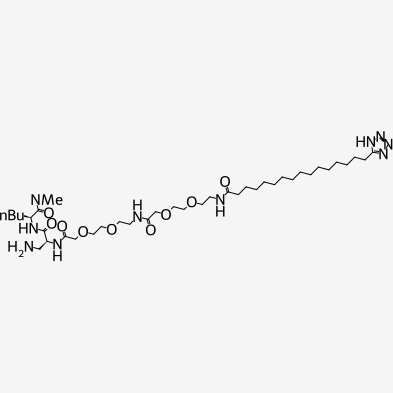 CCCC[C@H](NC(=O)[C@H](CN)NC(=O)COCCOCCNC(=O)COCCOCCNC(=O)CCCCCCCCCCCCCCCc1nnn[nH]1)C(=O)NC